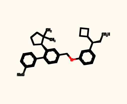 COc1cccc(-c2ccc(COc3cccc([C@H](CC(=O)O)C4CCC4)c3)cc2[C@H]2CCCC2(C)C)c1